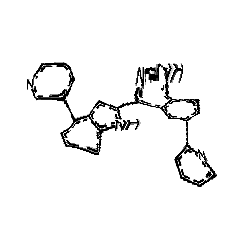 c1ccc(-c2ccc3[nH]nc(-c4cc5c(-c6cccnc6)cccc5[nH]4)c3c2)nc1